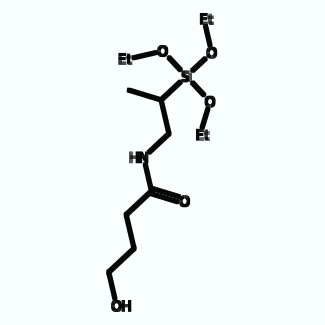 CCO[Si](OCC)(OCC)C(C)CNC(=O)CCCO